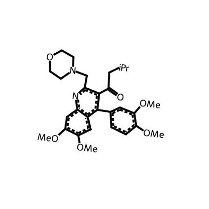 COc1ccc(-c2c(C(=O)CC(C)C)c(CN3CCOCC3)nc3cc(OC)c(OC)cc23)cc1OC